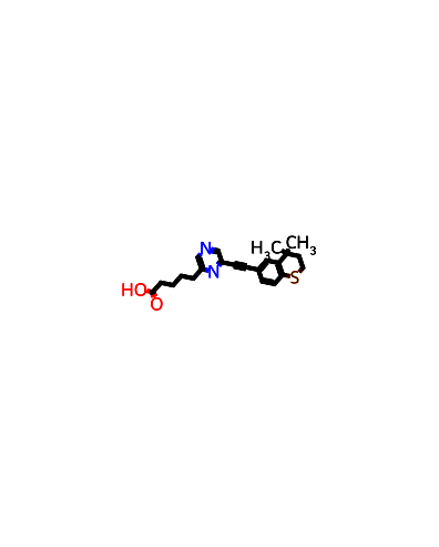 CC1(C)CCSc2ccc(C#Cc3cncc(CCCCC(=O)O)n3)cc21